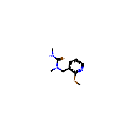 CNC(=S)N(C)Cc1cccnc1SC